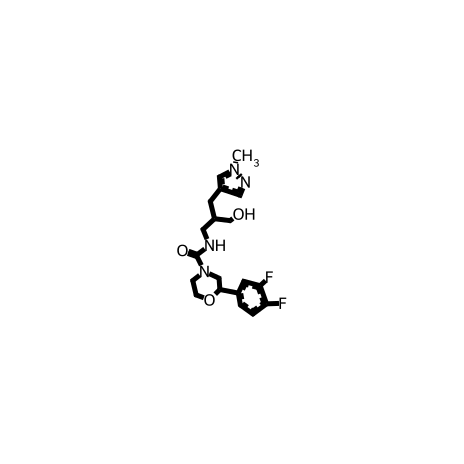 Cn1cc(CC(CO)CNC(=O)N2CCOC(c3ccc(F)c(F)c3)C2)cn1